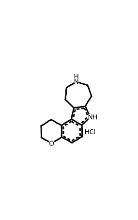 Cl.c1cc2[nH]c3c(c2c2c1OCCC2)CCNCC3